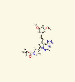 COc1cc(C#Cc2cc(C3CCN(C(=O)OC(C)(C)C)C3)n3ncnc(N)c23)cc(OC)c1